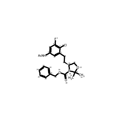 CC(=O)Nc1cc(F)c(Cl)c(CC[C@H]2COC(C)(C)N2C(=O)OCc2ccccc2)c1